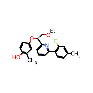 CCOC[C@H](Oc1ccc(O)c(C)c1)c1cccc(-c2ccc(C)cc2F)n1